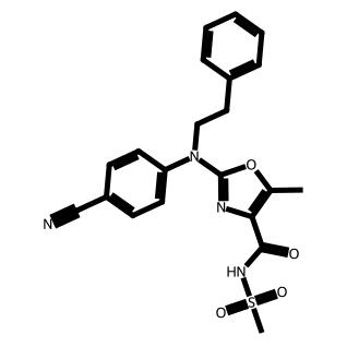 Cc1oc(N(CCc2ccccc2)c2ccc(C#N)cc2)nc1C(=O)NS(C)(=O)=O